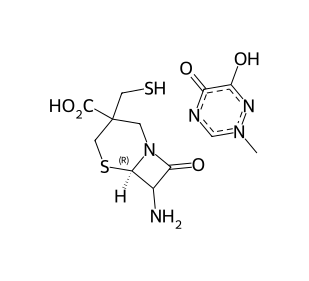 Cn1cnc(=O)c(O)n1.NC1C(=O)N2CC(CS)(C(=O)O)CS[C@H]12